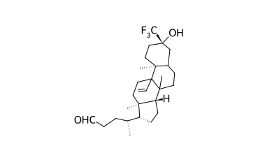 C=CC12CC[C@]3(C)[C@@H]([C@H](C)CCC=O)CC[C@H]3C1(C)CCC1C[C@](O)(C(F)(F)F)CC[C@@]12C